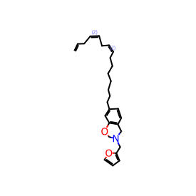 C=CC/C=C\C/C=C\CCCCCCCc1ccc2c(c1)OCN(Cc1ccco1)C2